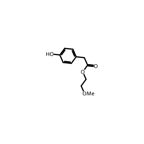 COCCOC(=O)Cc1ccc(O)cc1